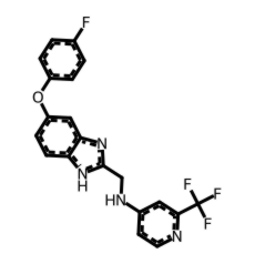 Fc1ccc(Oc2ccc3[nH]c(CNc4ccnc(C(F)(F)F)c4)nc3c2)cc1